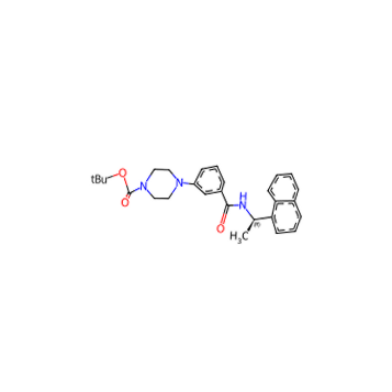 C[C@@H](NC(=O)c1cccc(N2CCN(C(=O)OC(C)(C)C)CC2)c1)c1cccc2ccccc12